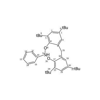 CC(C)(C)c1cc2c(c(C(C)(C)C)c1)O[SiH](c1ccccc1)Oc1c(cc(C(C)(C)C)cc1C(C)(C)C)C2